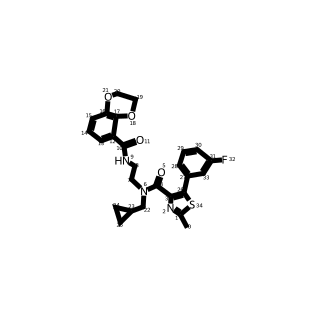 Cc1nc(C(=O)N(CCNC(=O)c2cccc3c2OCCO3)CC2CC2)c(-c2cccc(F)c2)s1